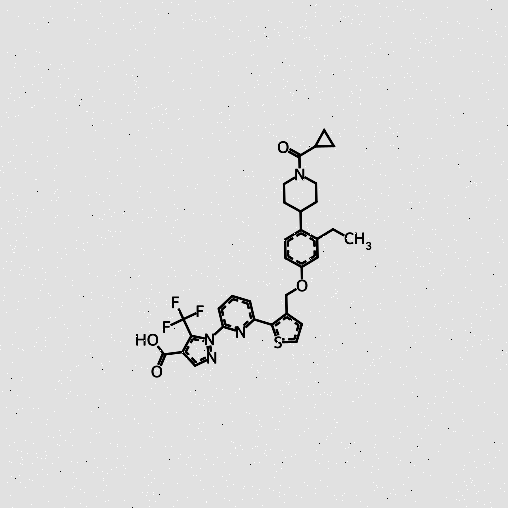 CCc1cc(OCc2ccsc2-c2cccc(-n3ncc(C(=O)O)c3C(F)(F)F)n2)ccc1C1CCN(C(=O)C2CC2)CC1